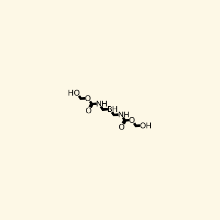 O=C(NCBCNC(=O)OCO)OCO